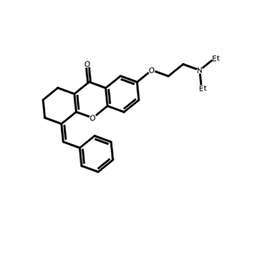 CCN(CC)CCOc1ccc2oc3c(c(=O)c2c1)CCC/C3=C/c1ccccc1